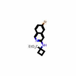 CCOC(=O)C1(Nc2cc3cc(Br)ccc3cn2)CCC1